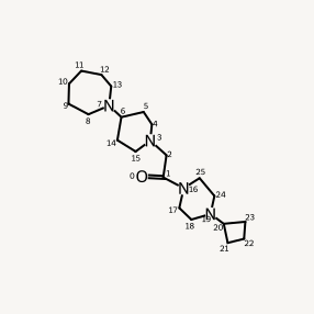 O=C(CN1CCC(N2CCCCCC2)CC1)N1CCN(C2CCC2)CC1